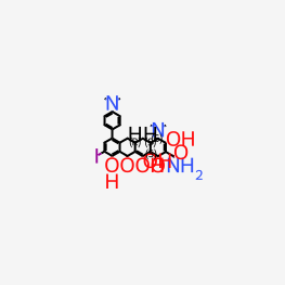 CN(C)c1ccc(-c2cc(I)c(O)c3c2C[C@H]2C[C@H]4[C@H](N(C)C)C(O)=C(C(N)=O)C(=O)[C@@]4(O)C(O)=C2C3=O)cc1